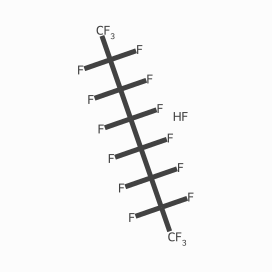 F.FC(F)(F)C(F)(F)C(F)(F)C(F)(F)C(F)(F)C(F)(F)C(F)(F)C(F)(F)F